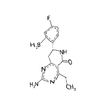 Bc1cc(F)ccc1[C@H]1Cc2nc(N)nc(CC)c2C(=O)N1